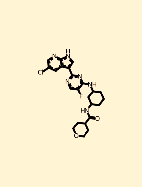 O=C(NC1CCCC(Nc2nc(-c3c[nH]c4ncc(Cl)cc34)ncc2F)C1)C1CCOCC1